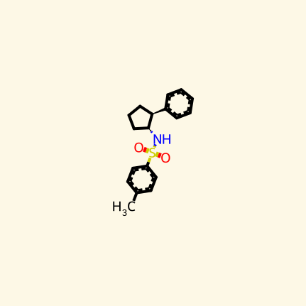 Cc1ccc(S(=O)(=O)N[C@@H]2CCC[C@H]2c2ccccc2)cc1